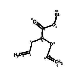 C=CCN(OC=C)C(=O)OCC